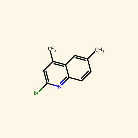 Cc1ccc2nc(Br)cc(C(F)(F)F)c2c1